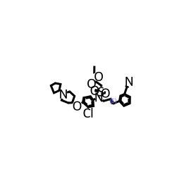 CCOC(=O)CS(=O)(=O)N(C/C=C/c1cccc(C#N)c1)c1ccc(OC2CCN(C3CCCC3)CC2)c(Cl)c1